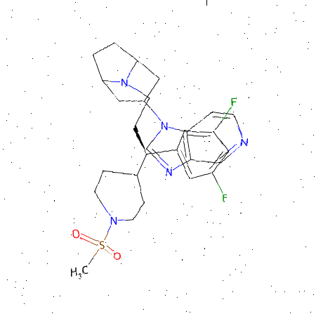 CS(=O)(=O)N1CCC([C@@H](CCN2C3CCC2CC(n2cnc4cnccc42)C3)c2cc(F)cc(F)c2)CC1